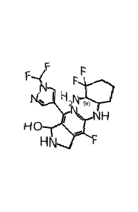 N[C@@H]1C(Nc2nc(-c3cnn(C(F)F)c3)c3c(c2F)CNC3O)CCCC1(F)F